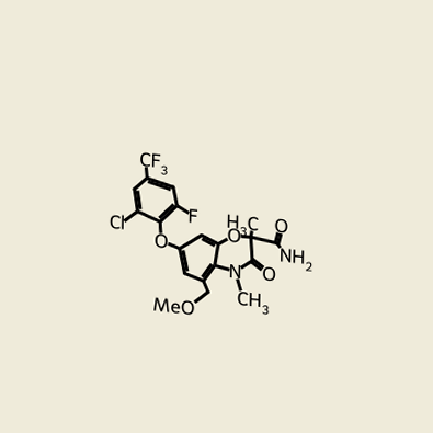 COCc1cc(Oc2c(F)cc(C(F)(F)F)cc2Cl)cc2c1N(C)C(=O)C(C)(C(N)=O)O2